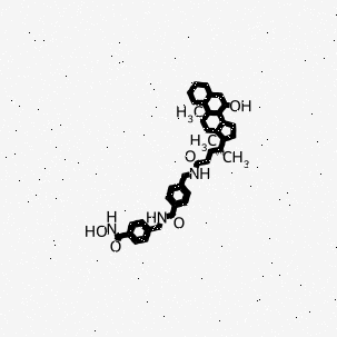 C[C@H](CCC(=O)NCc1ccc(C(=O)NCc2ccc(C(=O)NO)cc2)cc1)C1CCC2C3C(O)CC4CCCCC4(C)C3CCC21C